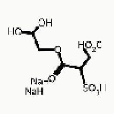 O=C(O)CC(C(=O)OCC(O)O)S(=O)(=O)O.[NaH].[NaH]